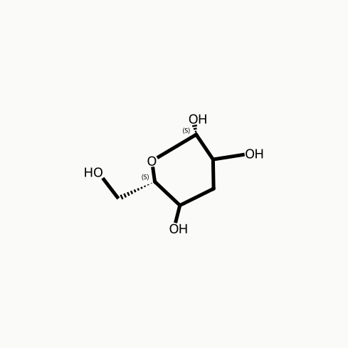 OC[C@@H]1O[C@H](O)C(O)CC1O